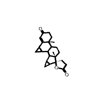 C[C@]12CCC(=O)C=C1C1CC1C1C2CC[C@@]2(C)C1C1CC1[C@@]21CCC(=O)O1